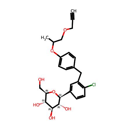 C#CCOCC(C)Oc1ccc(Cc2cc([C@@H]3O[C@H](CO)[C@@H](O)[C@H](O)[C@H]3O)ccc2Cl)cc1